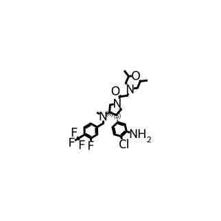 CC1CN(CC(=O)N2C[C@H](c3ccc(Cl)c(N)c3)[C@@H](N(C)Cc3ccc(C(F)(F)F)c(F)c3)C2)CC(C)O1